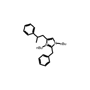 CCCCn1cc(CC(C)c2ccccc2)[n+](CCCC)c1Cc1ccccc1